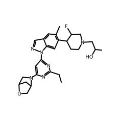 CCc1nc(N2CC3CC2CO3)cc(-n2ncc3cc(C)c(C4CCN(CC(C)O)CC4F)cc32)n1